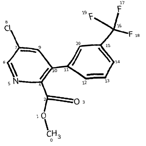 COC(=O)c1ncc(Cl)cc1-c1cccc(C(F)(F)F)c1